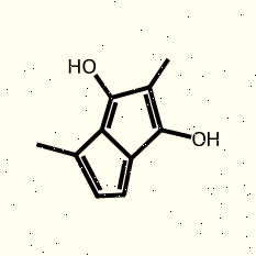 CC1=CC=C2C(O)=C(C)C(O)=C12